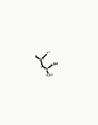 CB(F)CN(O)S